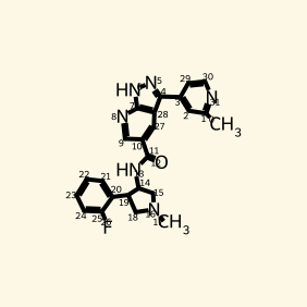 Cc1cc(-c2n[nH]c3ncc(C(=O)NC4CN(C)CC4c4ccccc4F)cc23)ccn1